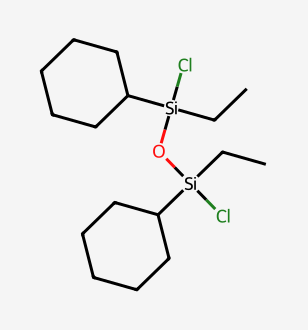 CC[Si](Cl)(O[Si](Cl)(CC)C1CCCCC1)C1CCCCC1